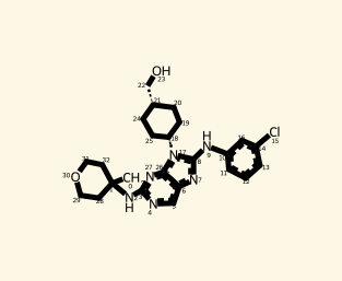 CC1(Nc2ncc3nc(Nc4cccc(Cl)c4)n([C@H]4CC[C@@H](CO)CC4)c3n2)CCOCC1